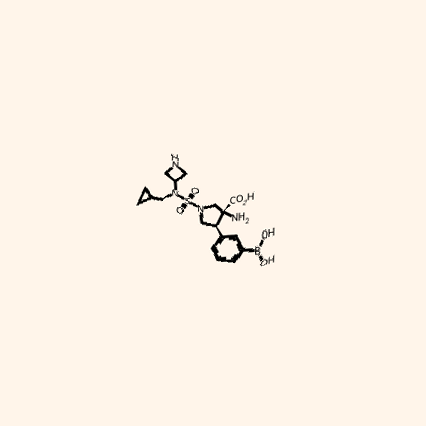 N[C@@]1(C(=O)O)CN(S(=O)(=O)N(CC2CC2)C2CNC2)C[C@@H]1c1cccc(B(O)O)c1